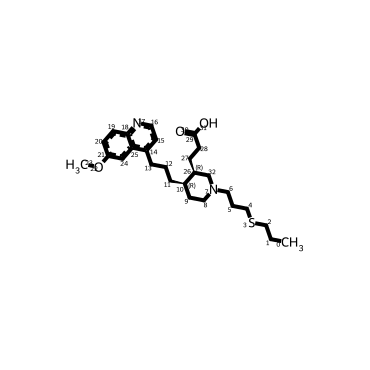 CCCSCCCN1CC[C@@H](CCCc2ccnc3ccc(OC)cc23)[C@@H](CCC(=O)O)C1